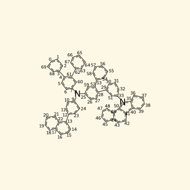 c1ccc(-c2ccc(N(c3ccc(-c4cccc5ccccc45)cc3)c3ccc(-c4cccc(-n5c6ccccc6c6ccc7ccccc7c65)c4)c(-c4ccccc4)c3)cc2-c2ccccc2)cc1